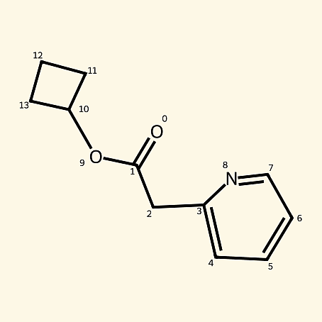 O=C(Cc1ccccn1)OC1CCC1